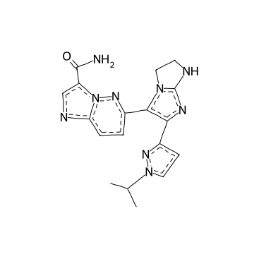 CC(C)n1ccc(-c2nc3n(c2-c2ccc4ncc(C(N)=O)n4n2)CCN3)n1